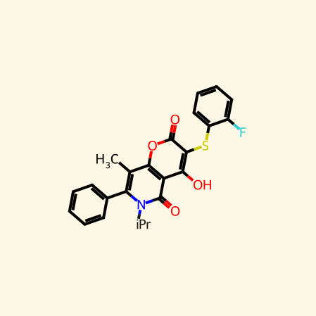 Cc1c(-c2ccccc2)n(C(C)C)c(=O)c2c(O)c(Sc3ccccc3F)c(=O)oc12